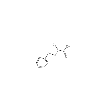 COC(=O)C(Cl)CSc1ccccc1